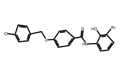 CC(=O)c1cccc(NC(=O)c2ccc(OCc3ccc(Cl)cc3)cc2)c1O